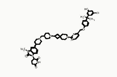 Cn1c(=O)n(C2CCC(=O)NC2=O)c2ccc(C3CCN(CC4CCN(C5CC6(CCN(c7nccc(COc8ccc(C(C)(C)c9cc(Cl)cc(C#N)c9)cc8)n7)CC6)C5)CC4)CC3)cc21